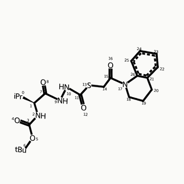 CC(C)[C@H](NC(=O)OC(C)(C)C)C(=O)NNC(=O)SCC(=O)N1CCCc2ccccc21